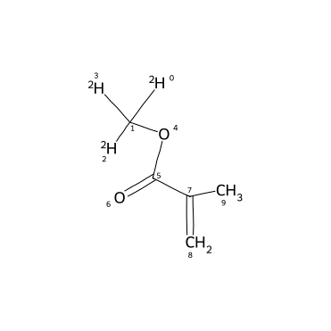 [2H]C([2H])([2H])OC(=O)C(=C)C